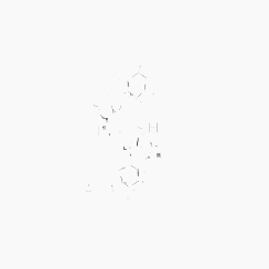 CC(=O)Oc1cc2c(cc1I)CC(C)(C)C(=O)N2CCNC(=O)OCc1ccccc1